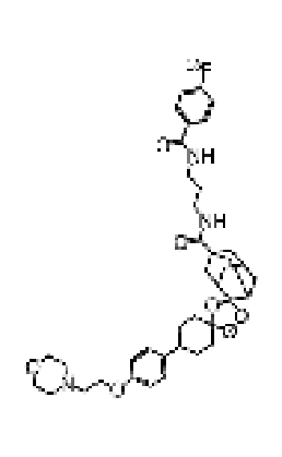 O=C(NCCCNC(=O)C12CC3CC(C1)C1(OOC4(CCC(c5ccc(OCCN6CCOCC6)cc5)CC4)O1)C(C3)C2)c1ccc([18F])cc1